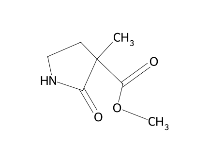 COC(=O)C1(C)CCNC1=O